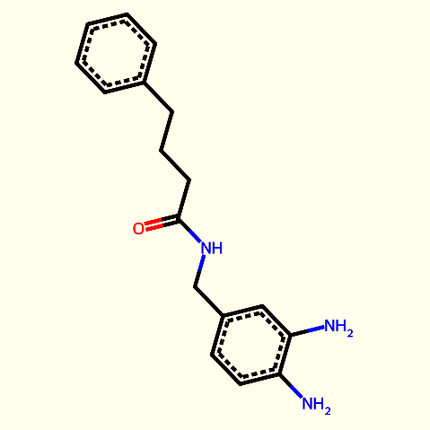 Nc1ccc(CNC(=O)CCCc2ccccc2)cc1N